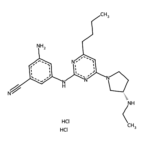 CCCCc1cc(N2CC[C@H](NCC)C2)nc(Nc2cc(N)cc(C#N)c2)n1.Cl.Cl